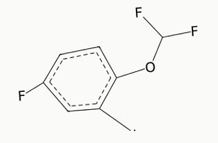 [CH2]c1cc(F)ccc1OC(F)F